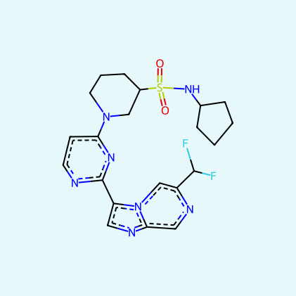 O=S(=O)(NC1CCCC1)C1CCCN(c2ccnc(-c3cnc4cnc(C(F)F)cn34)n2)C1